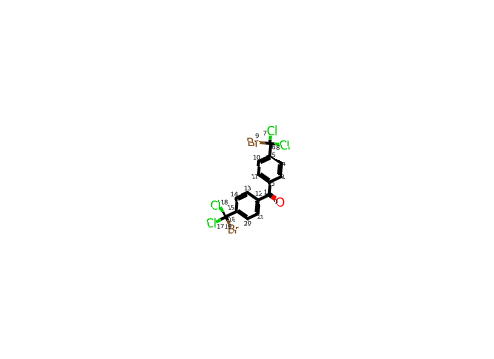 O=C(c1ccc(C(Cl)(Cl)Br)cc1)c1ccc(C(Cl)(Cl)Br)cc1